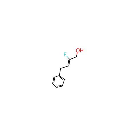 OCC(F)=CCc1ccccc1